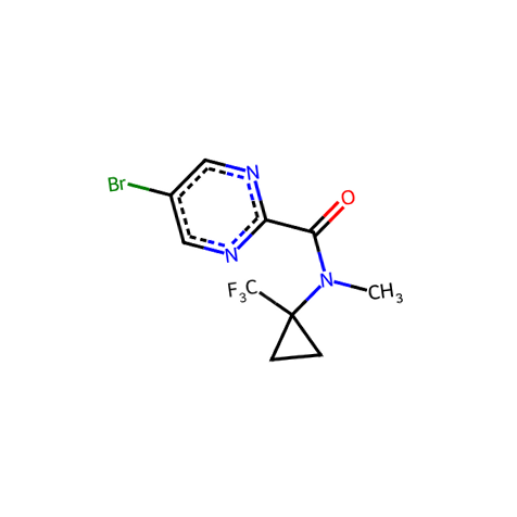 CN(C(=O)c1ncc(Br)cn1)C1(C(F)(F)F)CC1